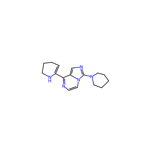 C1=C(c2nccn3c(N4CCCCC4)ncc23)NCCC1